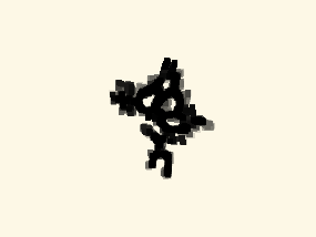 CCN(CC)C(=O)N[C@H]1C[C@@H]2c3cc(S(=O)(=O)C(F)(F)F)cc4[nH]cc(c34)C[C@H]2N(C)C1